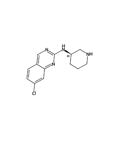 Clc1ccc2cnc(N[C@@H]3CCCNC3)nc2c1